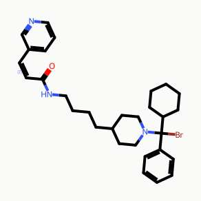 O=C(/C=C\c1cccnc1)NCCCCC1CCN(C(Br)(c2ccccc2)C2CCCCC2)CC1